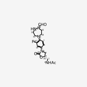 CC(=O)NC[C@H]1CN(c2ccc(N3CCNN(C=O)CC3)c(F)c2)C(=O)O1